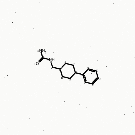 NC(=O)NCC1CCC(c2ccccc2)CC1